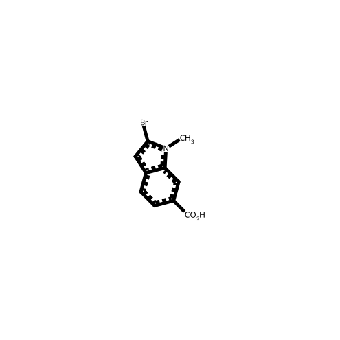 Cn1c(Br)cc2ccc(C(=O)O)cc21